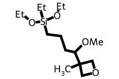 CCO[Si](CC)(CCCC(OC)C1(C)COC1)OCC